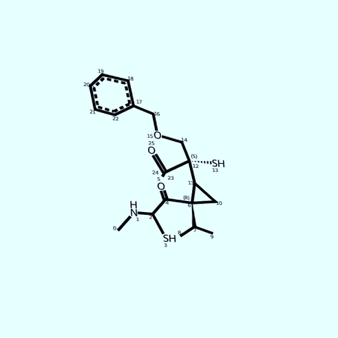 CNC(S)C(=O)[C@@]1(C(C)C)CC1[C@](S)(COCc1ccccc1)C(C)=O